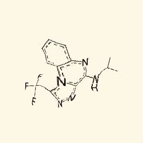 CC(C)Nc1nc2ccccc2n2c(C(F)(F)F)nnc12